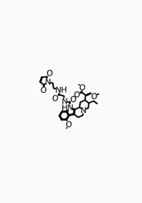 CCC1CN2CCc3c(n(C(=O)NCC(=O)NCCN4C(=O)C=CC4=O)c4cccc(OC)c34)C2CC1/C(=C\OC)C(=O)OC